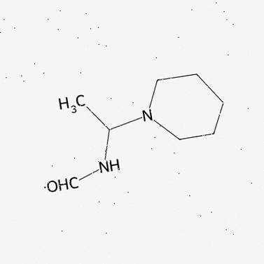 CC(N[C]=O)N1CCCCC1